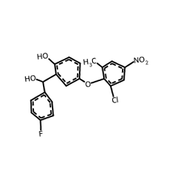 Cc1cc([N+](=O)[O-])cc(Cl)c1Oc1ccc(O)c(C(O)c2ccc(F)cc2)c1